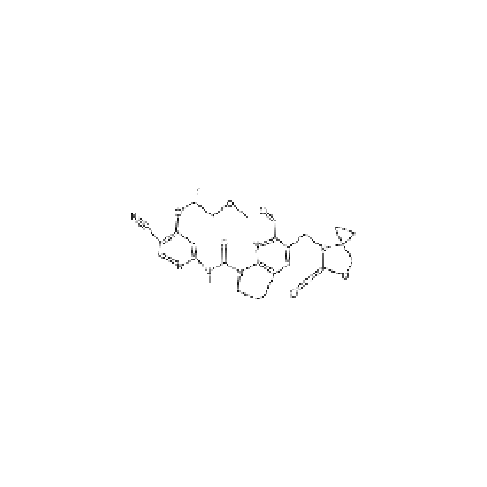 COC[C@@H](C)Oc1cc(NC(=O)N2CCCc3cc(CN4C(=C=O)OCC45CC5)c(C=O)nc32)ncc1C#N